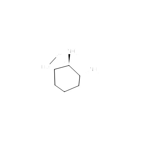 N[C@@H]1CCCC[C@H]1N.[OH][Pt]